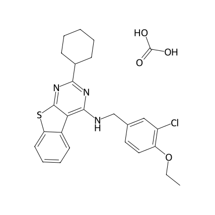 CCOc1ccc(CNc2nc(C3CCCCC3)nc3sc4ccccc4c23)cc1Cl.O=C(O)O